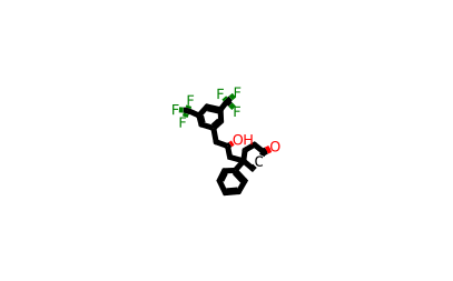 O=C1CCC(CC(O)Cc2cc(C(F)(F)F)cc(C(F)(F)F)c2)(c2ccccc2)CC1